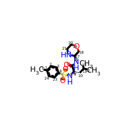 Cc1ccc(S(=O)(=O)N[C@@H](CC(C)C)C(=O)NC2COCCN2)cc1